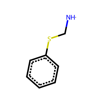 [NH]CSc1ccccc1